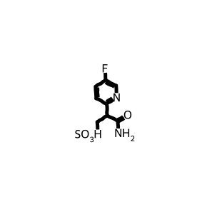 NC(=O)C(CS(=O)(=O)O)c1ccc(F)cn1